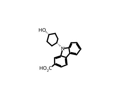 O=C(O)c1ccc2c3ccccc3n([C@H]3CC[C@@H](O)CC3)c2c1